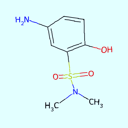 CN(C)S(=O)(=O)c1cc(N)ccc1O